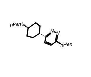 CCCCCCc1ccc([C@H]2CC[C@H](CCCCC)CC2)nn1